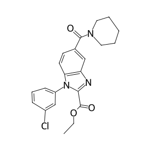 CCOC(=O)c1nc2cc(C(=O)N3CCCCC3)ccc2n1-c1cccc(Cl)c1